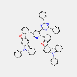 c1ccc(-c2nc(-c3ccccc3)nc(-c3cc(-c4cccc5oc6cc7c(cc6c45)c4ccccc4n7-c4ccccc4)cnc3-c3cccc4c3oc3ccc5c(c6ccccc6n5-c5ccccc5)c34)n2)cc1